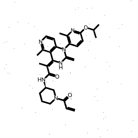 C=CC(=O)N1CCC[C@@H](NC(=O)/C(C)=C2\NC(=C)N(c3ccc(OC(C)C)nc3C)c3ccnc(C)c32)C1